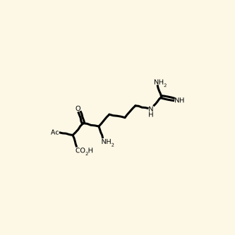 CC(=O)C(C(=O)O)C(=O)C(N)CCCNC(=N)N